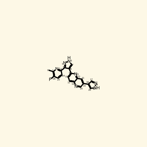 Cc1nc(-c2n[nH]cc2-c2ccc3ncc(-c4cn[nH]c4)cc3n2)ccc1F